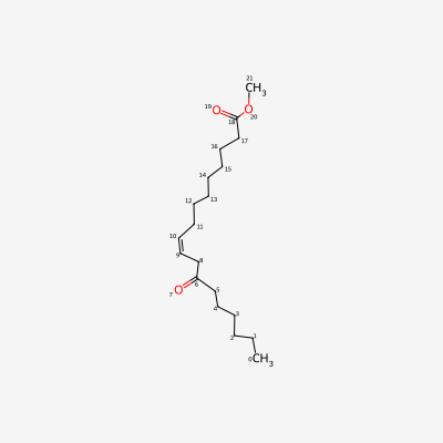 CCCCCCC(=O)C/C=C\CCCCCCCC(=O)OC